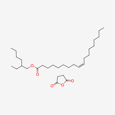 CCCCCCCC/C=C\CCCCCCCC(=O)OCC(CC)CCCC.O=C1CCC(=O)O1